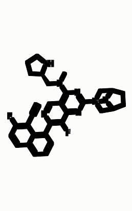 C#Cc1c(F)ccc2cccc(-c3ncc4c(N(C)C[C@H]5CCCN5)nc(N5CC6CCC(C5)N6C)nc4c3F)c12